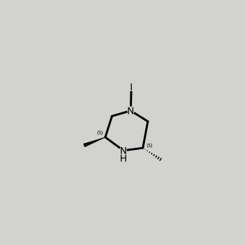 C[C@H]1CN(I)C[C@H](C)N1